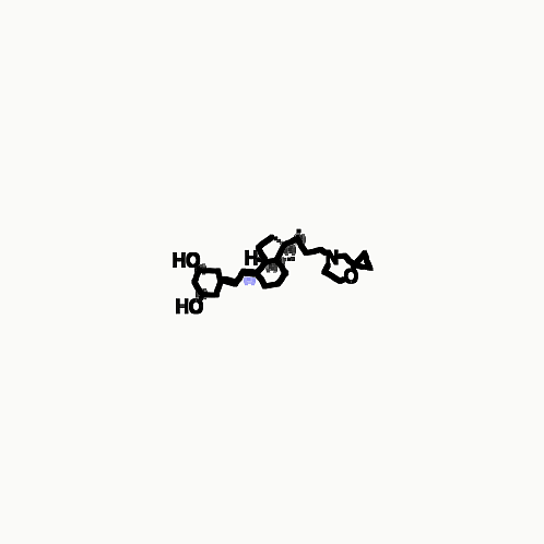 C[C@H](CCN1CCOC2(CC2)C1)[C@H]1CC[C@H]2/C(=C/C=C3C[C@@H](O)C[C@H](O)C3)CCC[C@]12C